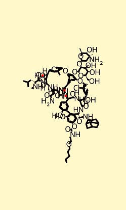 CCCCCOCCNC(=O)Oc1cc(O)c2c(c1)[C@@H](C(=O)NC1C3CC4CC(C3)CC1C4)NC(=O)[C@H]1NC(=O)[C@H](NC(=O)[C@@H]3NC(=O)[C@H](CC(N)=O)NC(=O)[C@H](NC(=O)[C@@H](CC(C)C)NC)[C@H](O)c4ccc(c(C)c4)Oc4cc3cc(c4O[C@@H]3O[C@H](CO)[C@@H](O)[C@H](O)[C@H]3O[C@H]3C[C@](C)(N)[C@H](O)[C@H](C)O3)Oc3ccc(cc3Cl)[C@H]1O)c1ccc(O)c-2c1